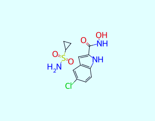 NS(=O)(=O)C1CC1.O=C(NO)c1cc2cc(Cl)ccc2[nH]1